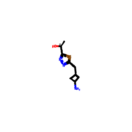 C[C@H](O)c1nnc(CC2CC(N)C2)s1